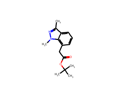 Cc1nn(C)c2c(CC(=O)OC(C)(C)C)cccc12